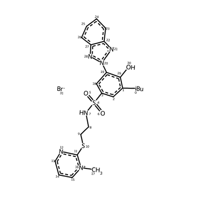 CCC(C)c1cc(S(=O)(=O)NCCSc2nccc[n+]2C)cc(-n2nc3ccccc3n2)c1O.[Br-]